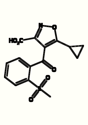 CS(=O)(=O)c1ccccc1C(=O)c1c(C(=O)O)noc1C1CC1